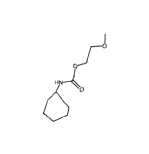 COCCOC(=O)NC1CCCCC1